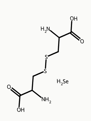 NC(CSSCC(N)C(=O)O)C(=O)O.[SeH2]